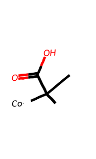 CC(C)(C)C(=O)O.[Co]